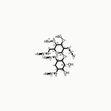 CCCCOC1C(N=[N+]=[N-])[C@@H](OC2C(N=[N+]=[N-])CC(N=[N+]=[N-])C(O)[C@H]2O)OC(CN=[N+]=[N-])[C@H]1OCCCC